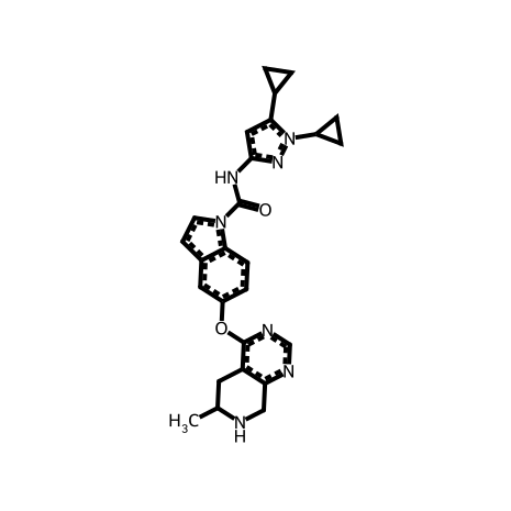 CC1Cc2c(ncnc2Oc2ccc3c(ccn3C(=O)Nc3cc(C4CC4)n(C4CC4)n3)c2)CN1